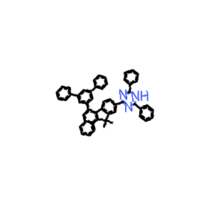 CC1(C)c2cc(C3=NC(c4ccccc4)NC(c4ccccc4)=N3)ccc2-c2c(-c3cc(-c4ccccc4)cc(-c4ccccc4)c3)cc3ccccc3c21